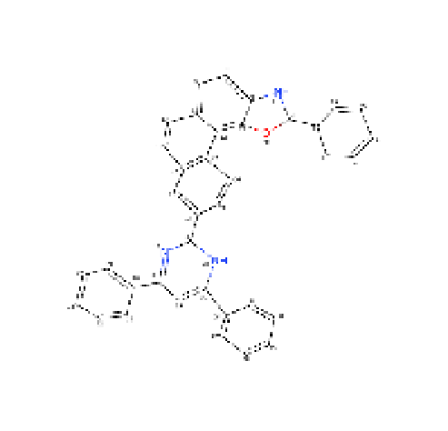 C1=CCC(C2Nc3ccc4ccc5cc(C6N=C(c7ccccc7)C=C(c7ccccc7)N6)ccc5c4c3O2)C=C1